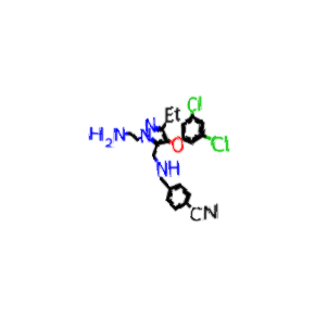 CCc1nn(CCN)c(CNCc2ccc(C#N)cc2)c1Oc1cc(Cl)cc(Cl)c1